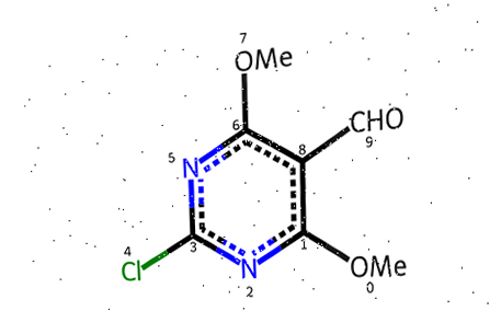 COc1nc(Cl)nc(OC)c1C=O